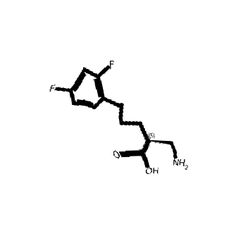 NC[C@H](CCCc1ccc(F)cc1F)C(=O)O